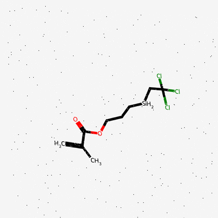 C=C(C)C(=O)OCCC[SiH2]CC(Cl)(Cl)Cl